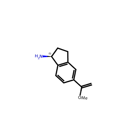 C=C(OC)c1ccc2c(c1)CC[C@@H]2N